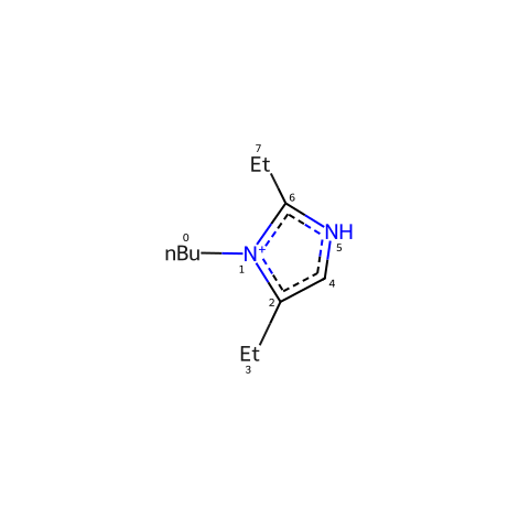 CCCC[n+]1c(CC)c[nH]c1CC